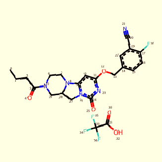 CCCC(=O)N1CCN2c3cc(OCc4ccc(F)c(C#N)c4)nc(=O)n3CC2C1.O=C(O)C(F)(F)F